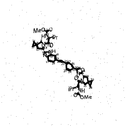 COC(=O)N[C@H](C(=O)N1CC2(CC2)C[C@H]1c1nc2ccc(C#Cc3ccc(-c4coc([C@@H]5CC6(CC6)CN5C(=O)[C@@H](NC(=O)OC)C(C)C)n4)cc3)cc2[nH]1)C(C)C